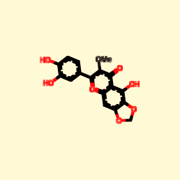 COc1c(-c2ccc(O)c(O)c2)oc2cc3c(c(O)c2c1=O)OCO3